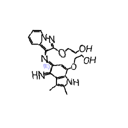 Cc1[nH]c2c(c1C)C(=N)/C(=N/c1c(OCCO)nn3ccccc13)C=C2OCCO